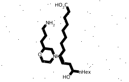 CCCCCCC(O)C/C=C\CCCCCCCC(=O)O.NCCCC1CNCCO1